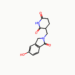 O=C1CCC(CN2Cc3cc(O)ccc3C2=O)C(=O)N1